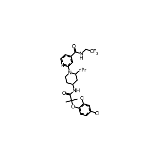 CCCC1CC(NC(=O)C(C)(C)Oc2ccc(Cl)cc2Cl)CCN1c1cc(C(=O)NCC(F)(F)F)ccn1